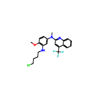 COc1ccc(N(C)c2cc(C(F)(F)F)c3ccccc3n2)cc1NCCCCCl